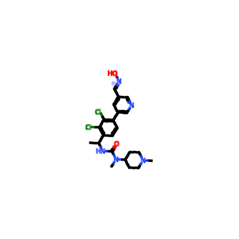 CC(NC(=O)N(C)C1CCN(C)CC1)c1ccc(-c2cncc(/C=N/O)c2)c(Cl)c1Cl